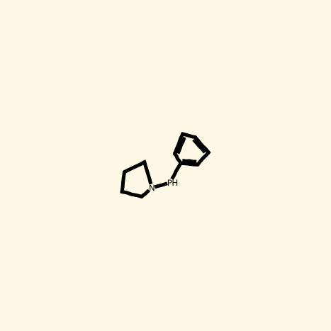 c1ccc(PN2CCCC2)cc1